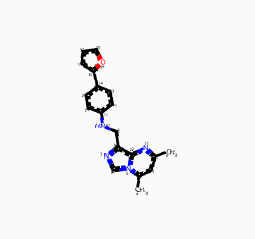 Cc1cc(C)n2cnc(CNc3ccc(-c4ccco4)cc3)c2n1